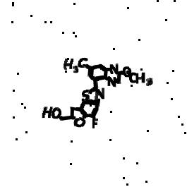 COc1cnc2c(-c3nc4cc(F)c5c(c4s3)CC(CO)O5)cc(C)cc2n1